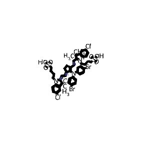 CC1(C)C(/C=C/C2=C(N(c3ccc(Br)cc3)c3ccc(Br)cc3)C(=C/C=C3/N(CCCCS(=O)(=O)O)c4ccc(Cl)cc4C3(C)C)/CC2)=[N+](CCCCS(=O)(=O)O)c2ccc(Cl)cc21